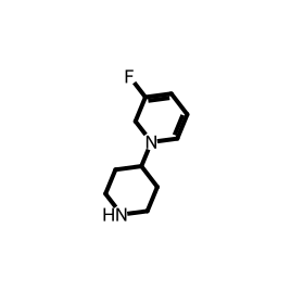 FC1=CC=CN(C2CCNCC2)C1